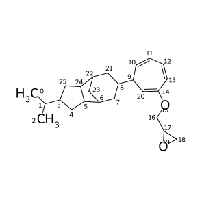 CC(C)C1CC2C3CC(C4C=CC=CC(OCC5CO5)=C4)CC(C3)C2C1